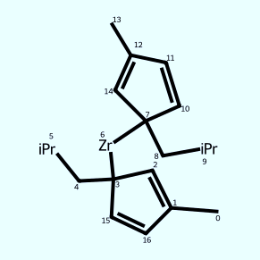 CC1=C[C](CC(C)C)([Zr][C]2(CC(C)C)C=CC(C)=C2)C=C1